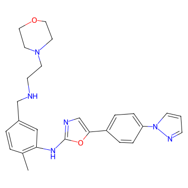 Cc1ccc(CNCCN2CCOCC2)cc1Nc1ncc(-c2ccc(-n3cccn3)cc2)o1